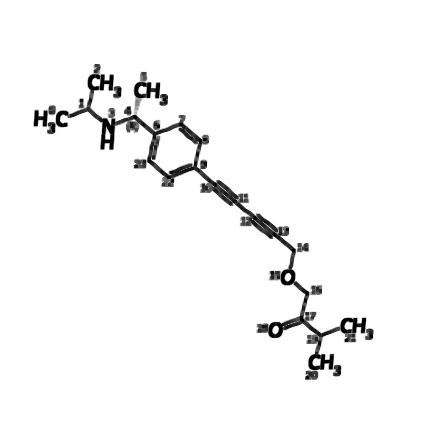 CC(C)N[C@H](C)c1ccc(C#CC#CCOCC(=O)C(C)C)cc1